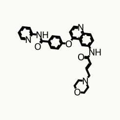 O=C(C=CCN1CCOCC1)Nc1ccc2nccc(Oc3ccc(C(=O)Nc4ccccn4)cc3)c2c1